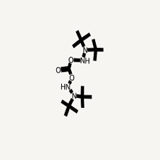 CC(C)(C)N(NOC(=O)ONN(C(C)(C)C)C(C)(C)C)C(C)(C)C